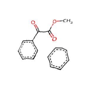 COC(=O)C(=O)c1ccccc1.c1ccccc1